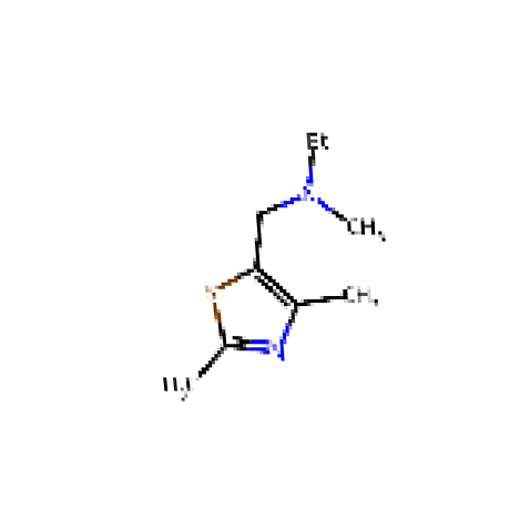 CCN(C)Cc1sc(C)nc1C